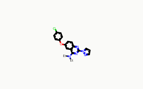 CCN(CC)c1nc(-n2cccn2)nc2ccc(Oc3ccc(Cl)cc3)cc12